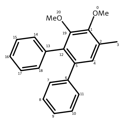 COc1c(C)[c]c(-c2ccccc2)c(-c2ccccc2)c1OC